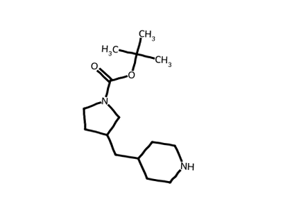 CC(C)(C)OC(=O)N1CCC(CC2CCNCC2)C1